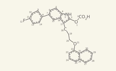 O=C(O)Oc1[nH]c2ccc(-c3ccc(F)cc3)cc2c1CCCOc1cccc2ccccc12